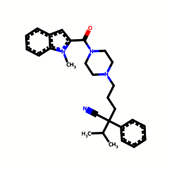 CC(C)C(C#N)(CCCN1CCN(C(=O)c2cc3ccccc3n2C)CC1)c1ccccc1